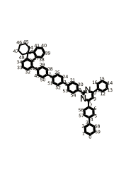 c1ccc(-c2ccc(-c3cc(-c4ccccc4)nc(-c4ccc(-c5ccc(-c6ccc(-c7cccc8c7-c7ccccc7C87CCCCC7)cc6)cc5)cc4)n3)cc2)cc1